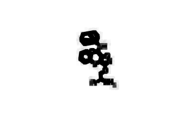 CC(C)[C@H](N)COc1noc(C(=O)NC2C3CC4CC(C3)CC2C4)c1Sc1ccccc1